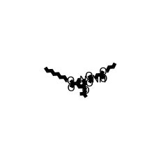 CCCCCCCCOC(=O)c1cnc(OC(=O)NCC(=O)OCCCC)c(OC(C)C)c1